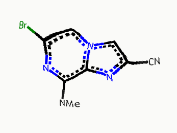 CNc1nc(Br)cn2cc(C#N)nc12